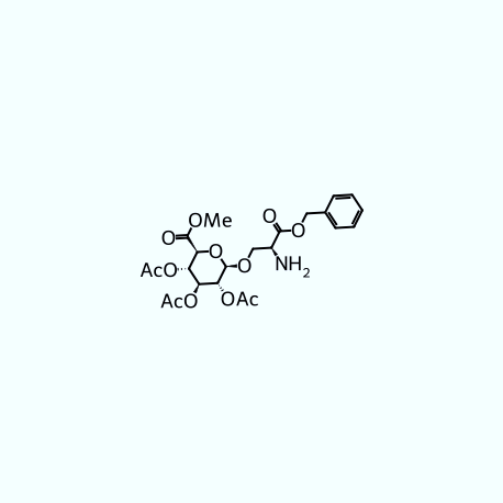 COC(=O)[C@H]1O[C@@H](OC[C@H](N)C(=O)OCc2ccccc2)[C@H](OC(C)=O)[C@@H](OC(C)=O)[C@@H]1OC(C)=O